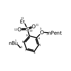 CCCCC.CCCCCOc1ccccc1S(=O)(=O)CC